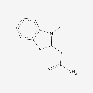 CN1c2ccccc2SC1CC(N)=S